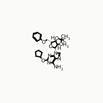 CC1(C)O[C@@H]2[C@H](O1)[C@@H](COc1ccccc1)O[C@H]2n1cnc2c(N)nc(OC3CCCC3)nc21